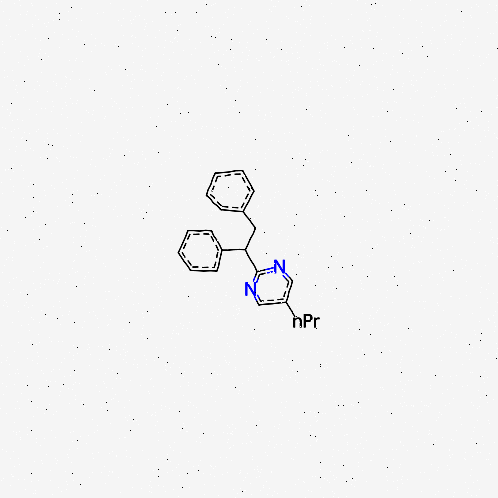 CCCc1cnc(C(Cc2ccccc2)c2ccccc2)nc1